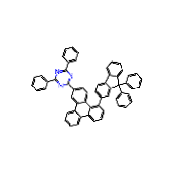 c1ccc(-c2nc(-c3ccccc3)nc(-c3ccc4c(c3)c3ccccc3c3cccc(-c5ccc6c(c5)C(c5ccccc5)(c5ccccc5)c5ccccc5-6)c34)n2)cc1